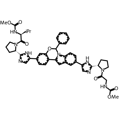 COC(=O)NCC(=O)N1CCC[C@H]1c1ncc(-c2ccc3c(c2)cc2n3C(c3ccccc3)Oc3cc(-c4cnc([C@@H]5CCCN5C(=O)[C@@H](NC(=O)OC)C(C)C)[nH]4)ccc3-2)[nH]1